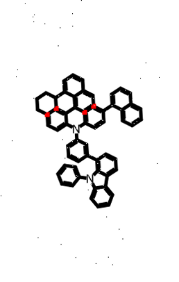 c1ccc(-n2c3ccccc3c3cccc(-c4cccc(N(c5ccc(-c6cccc7ccccc67)cc5)c5ccccc5-c5cccc6cccc(C7CCCCC7)c56)c4)c32)cc1